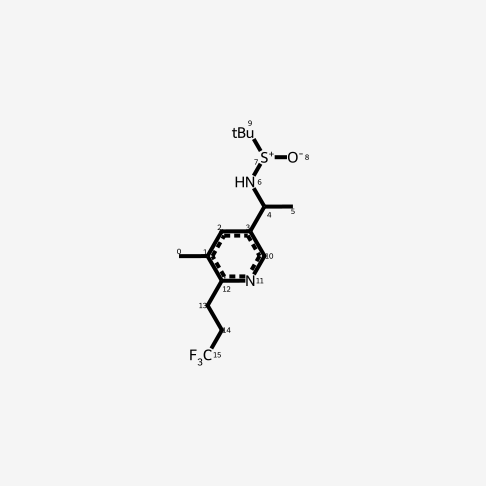 Cc1cc(C(C)N[S+]([O-])C(C)(C)C)cnc1CCC(F)(F)F